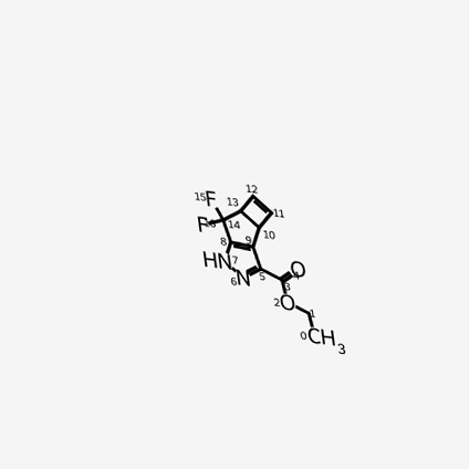 CCOC(=O)c1n[nH]c2c1C1C=CC1C2(F)F